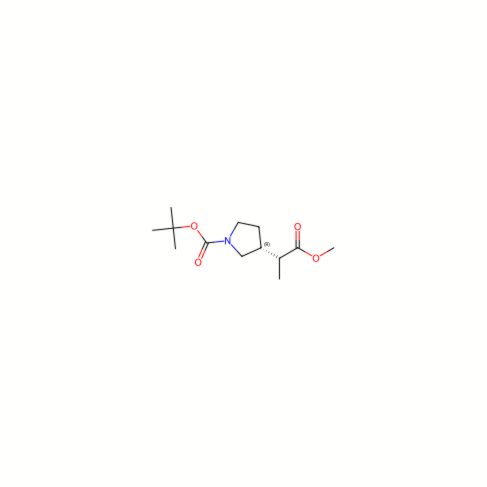 COC(=O)C(C)[C@H]1CCN(C(=O)OC(C)(C)C)C1